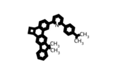 CC(C)c1ccc(-c2cccc(-c3ccc4c(c3)-c3cc5c(cc3C3CCC43)-c3ccccc3C5(C)C)n2)cc1